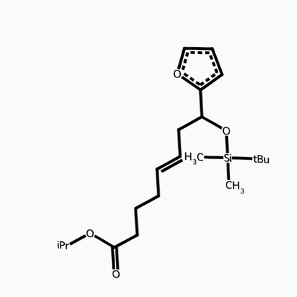 CC(C)OC(=O)CCCC=CCC(O[Si](C)(C)C(C)(C)C)c1ccco1